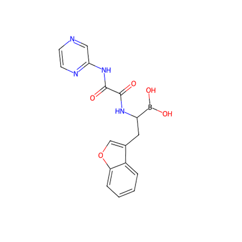 O=C(Nc1cnccn1)C(=O)NC(Cc1coc2ccccc12)B(O)O